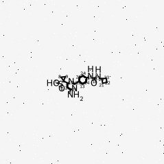 Nc1cc(C2(S(=O)O)CC2)nc(-c2ccc(NC(=O)NC3CCC3)cc2)n1